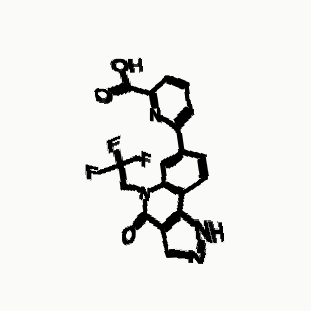 O=C(O)c1cccc(-c2ccc3c4[nH]ncc4c(=O)n(CC(F)(F)F)c3c2)n1